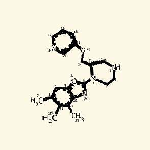 Cc1cc2oc(N3CCNCC3COc3cccnc3)nc2c(C)c1C